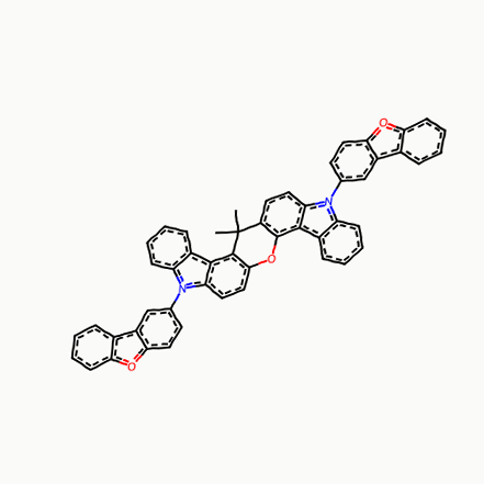 CC1(C)c2ccc3c(c2Oc2ccc4c(c21)c1ccccc1n4-c1ccc2oc4ccccc4c2c1)c1ccccc1n3-c1ccc2oc3ccccc3c2c1